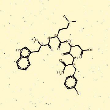 C[S+]([O-])CC[C@H](NC(=O)[C@H](N)Cc1c[nH]c2ccccc12)C(=O)N[C@@H](CC(=O)O)C(=O)N[C@@H](Cc1cccc(Cl)c1)C(N)=O